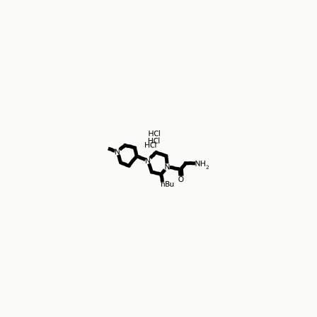 CCCCC1CN(C2CCN(C)CC2)CCN1C(=O)CN.Cl.Cl.Cl